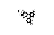 C[C@@H]1C[C@H](c2cccc(Cl)c2)[C@H](c2ccc(Cl)cc2)OC1=O